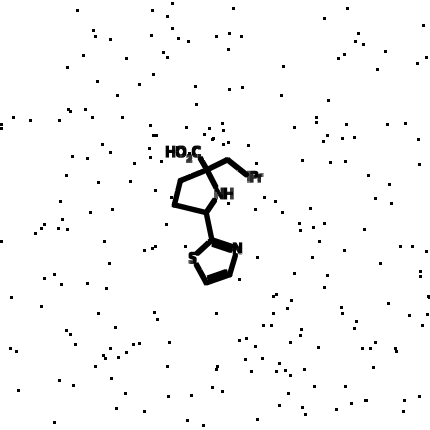 CC(C)CC1(C(=O)O)CCC(c2nccs2)N1